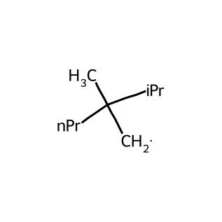 [CH2]C(C)(CCC)C(C)C